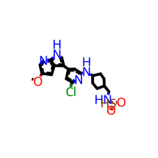 COc1cnc2[nH]cc(-c3cc(Cl)nc(NC4CCC(CN[SH](=O)=O)CC4)c3)c2c1